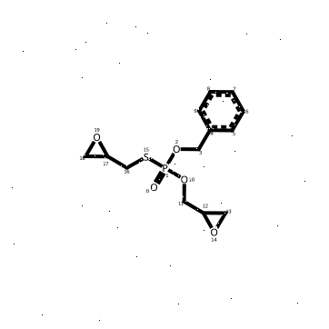 O=P(OCc1ccccc1)(OCC1CO1)SCC1CO1